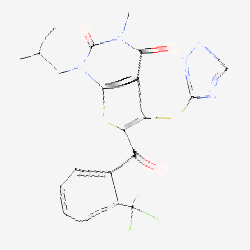 CC(C)Cn1c(=O)n(C)c(=O)c2c(Sc3nc[nH]n3)c(C(=O)c3ccccc3C(F)(F)F)sc21